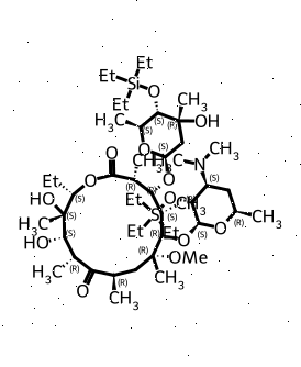 CC[C@@H]1OC(=O)[C@H](C)[C@H](O[C@@H]2C[C@@](C)(O)[C@@H](O[Si](CC)(CC)CC)[C@H](C)O2)[C@H](C)[C@@H](O[C@@H]2O[C@H](C)C[C@H](N(C)C)[C@H]2O[Si](CC)(CC)CC)[C@](C)(OC)C[C@@H](C)C(=O)[C@H](C)[C@H](O)[C@]1(C)O